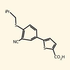 CC(C)CSc1ccc(-c2ccc(C(=O)O)s2)cc1C#N